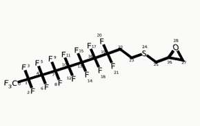 FC(F)(F)C(F)(F)C(F)(F)C(F)(F)C(F)(F)C(F)(F)C(F)(F)C(F)(F)CCSCC1CO1